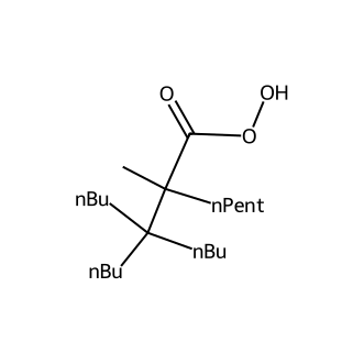 CCCCCC(C)(C(=O)OO)C(CCCC)(CCCC)CCCC